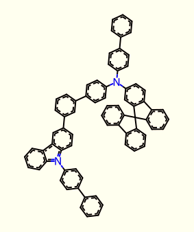 c1ccc(-c2ccc(N(c3ccc(-c4cccc(-c5ccc6c(c5)c5ccccc5n6-c5ccc(-c6ccccc6)cc5)c4)cc3)c3ccc4c(c3)C3(c5ccccc5-c5ccccc53)c3ccccc3-4)cc2)cc1